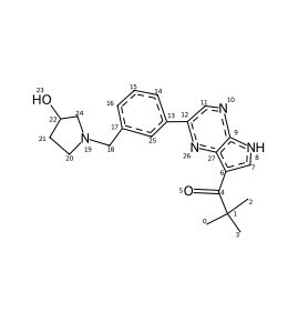 CC(C)(C)C(=O)c1c[nH]c2ncc(-c3cccc(CN4CCC(O)C4)c3)nc12